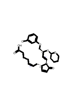 O=C(O)CCC/C=C\C[C@H]1C=CC(=O)[C@@H]1/C=C/[C@@H](COc1cccc(Cl)c1)OC1CCCCO1